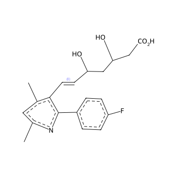 Cc1cc(C)c(/C=C/C(O)CC(O)CC(=O)O)c(-c2ccc(F)cc2)n1